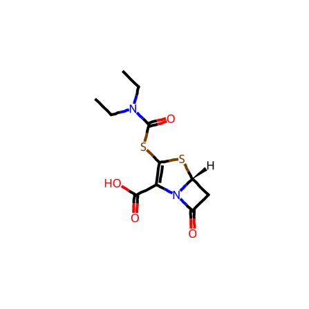 CCN(CC)C(=O)SC1=C(C(=O)O)N2C(=O)C[C@H]2S1